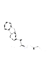 CCC(=O)O/N=C(/C)C(=O)c1ccc2c(c1)Cc1ccccc1-2